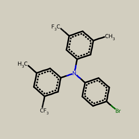 Cc1cc(N(c2ccc(Br)cc2)c2cc(C)cc(C(F)(F)F)c2)cc(C(F)(F)F)c1